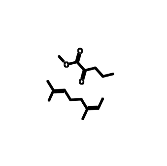 CC=C(C)CCC=C(C)C.CCCC(=O)C(=O)OC